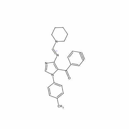 Cc1ccc(-n2cnc(/N=C/N3CCCCC3)c2C(=O)c2cc#ccc2)cc1